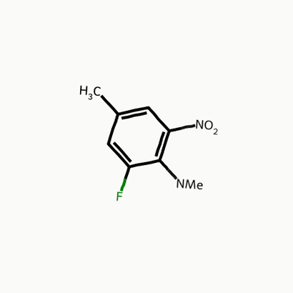 CNc1c(F)cc(C)cc1[N+](=O)[O-]